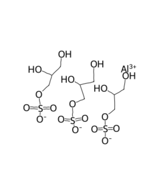 O=S(=O)([O-])OCC(O)CO.O=S(=O)([O-])OCC(O)CO.O=S(=O)([O-])OCC(O)CO.[Al+3]